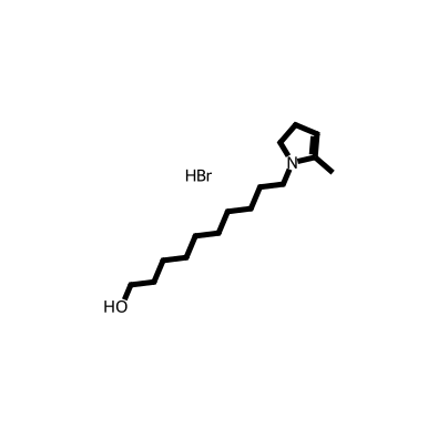 Br.CC1=CCCN1CCCCCCCCCCO